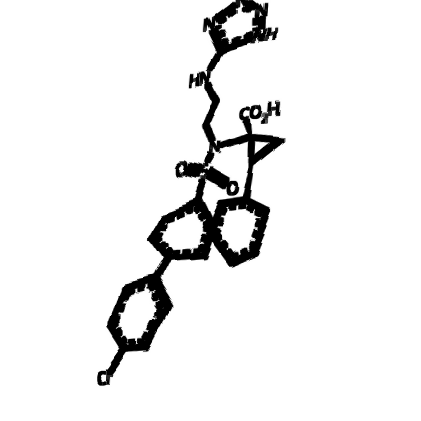 O=C(O)[C@@]1(N(CCNc2nnn[nH]2)S(=O)(=O)c2ccc(-c3ccc(Cl)cc3)cc2)C[C@H]1c1ccccc1